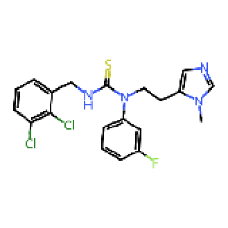 Cn1cncc1CCN(C(=S)NCc1cccc(Cl)c1Cl)c1cccc(F)c1